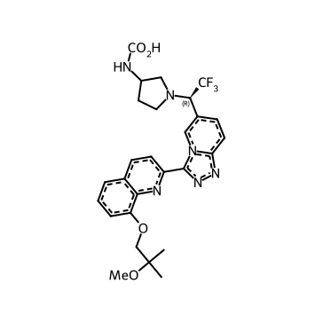 COC(C)(C)COc1cccc2ccc(-c3nnc4ccc([C@@H](N5CCC(NC(=O)O)C5)C(F)(F)F)cn34)nc12